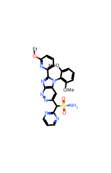 CCOc1cccc(-c2nc3nnc(C(c4ncccn4)S(N)(=O)=O)cc3n2-c2c(OC)cccc2OC)n1